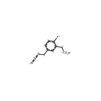 [N-]=[N+]=NCc1ccc(F)c(CC(=O)O)c1